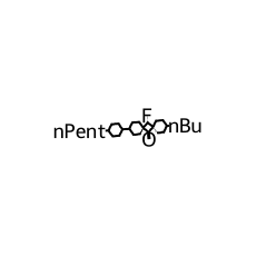 CCCCCC1CCC(C2CC[C@]3(CC2)C(=O)[C@@]2(CCC(CCCC)CC2)[C@H]3F)CC1